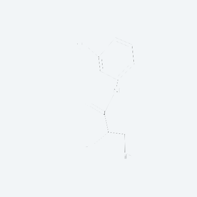 CCOC(=O)c1cccc(NC(=O)C(CC)CC(C)C)c1